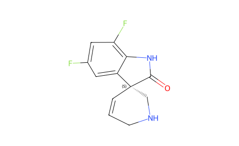 O=C1Nc2c(F)cc(F)cc2[C@]12C=CCNC2